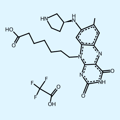 Cc1cc2nc3c(=O)[nH]c(=O)nc-3n(CCCCCCC(=O)O)c2cc1N[C@H]1CCNC1.O=C(O)C(F)(F)F